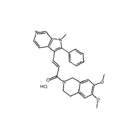 COc1cc2c(cc1OC)CN(C(=O)C=Cc1c(-c3ccccc3)n(C)c3cnccc13)CC2.Cl